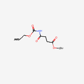 C=CCOC(=O)NC(=O)CCC(=O)OC(C)(C)C